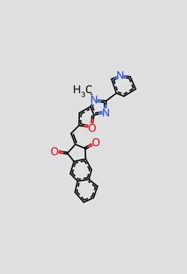 Cn1c(-c2cccnc2)nc2oc(C=C3C(=O)c4cc5ccccc5cc4C3=O)cc21